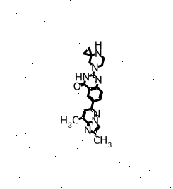 Cc1cn2nc(-c3ccc4nc(N5CCNC6(CC6)C5)[nH]c(=O)c4c3)cc(C)c2n1